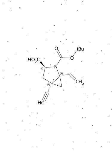 C#C[C@]12C[C@@H](C(=O)O)N(C(=O)OC(C)(C)C)[C@@]1(C=C)C2